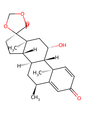 C[C@H]1C[C@@H]2[C@H]([C@@H](O)C[C@@]3(C)[C@H]2CC[C@@]32OCOC23COCO3)[C@@]2(C)C=CC(=O)C=C12